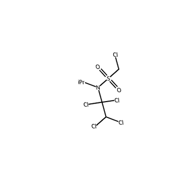 CC(C)N(C(Cl)(Cl)C(Cl)Cl)S(=O)(=O)CCl